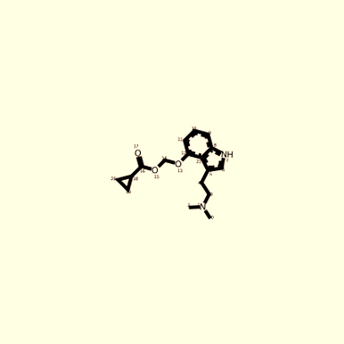 CN(C)CCc1c[nH]c2cccc(OCOC(=O)C3CC3)c12